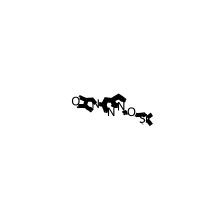 C[Si](C)(C)CCOCn1ccc2cc(N3CC4COCC4C3)cnc21